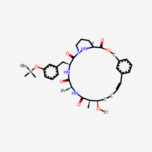 CCO[C@@H]1CCC=Cc2cccc(c2)COC(=O)[C@@H]2CCCN(N2)C(=O)[C@H](Cc2cccc(O[Si](C)(C)C(C)(C)C)c2)NC(=O)[C@H](C(C)C)NC(=O)[C@@H]1C